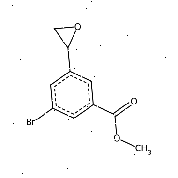 COC(=O)c1cc(Br)cc(C2CO2)c1